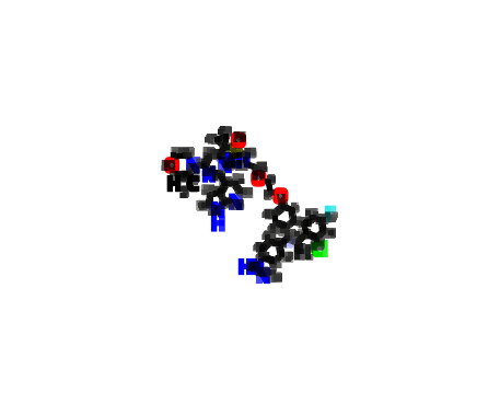 CC/C(=C(/c1ccc(OCCOCCCS(=N)(=O)C2(c3cc(N4CCOC[C@H]4C)nc(-c4ccnc5[nH]ccc45)n3)CC2)cc1)c1ccc2[nH]ncc2c1)c1ccc(F)cc1Cl